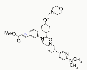 COC(=O)/C=C/c1cccc(N(Cc2ccc(-c3ccc(N(C)C)nc3)cn2)C(=O)C2CCC(OCCN3CCOCC3)CC2)c1